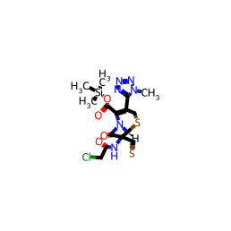 Cn1nnnc1C1=C(C(=O)O[Si](C)(C)C)N2C(=O)C(C=S)(NC(=O)CCl)[C@@H]2SC1